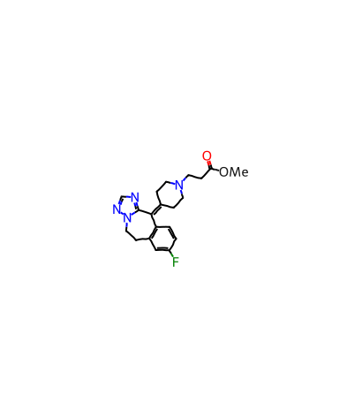 COC(=O)CCN1CCC(=C2c3ccc(F)cc3CCn3ncnc32)CC1